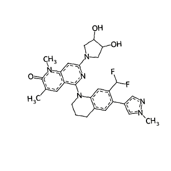 Cc1cc2c(N3CCCc4cc(-c5cnn(C)c5)c(C(F)F)cc43)nc(N3CC(O)C(O)C3)cc2n(C)c1=O